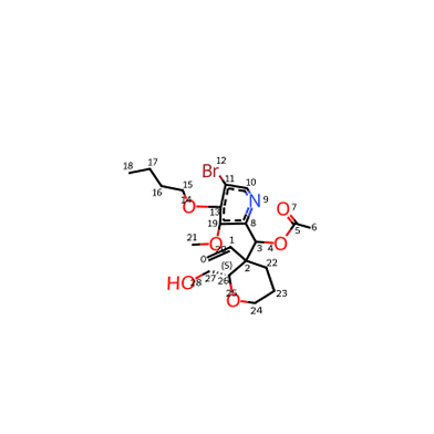 C=CC1(C(OC(C)=O)c2ncc(Br)c(OCCCC)c2OC)CCCO[C@@H]1CO